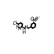 O=[N+]([O-])c1cccc(C=NNc2ccc(Cl)nn2)c1